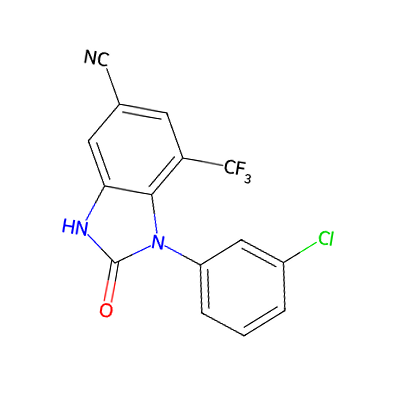 N#Cc1cc(C(F)(F)F)c2c(c1)[nH]c(=O)n2-c1cccc(Cl)c1